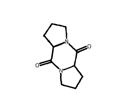 O=C1C2CCCN2C(=O)C2CCCN12